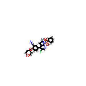 N#Cc1cc(-c2c(F)cnc3c2cc(I)n3S(=O)(=O)c2ccccc2)ccc1OC1CCOCC1